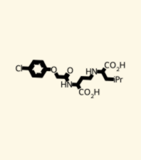 CC(C)CC(NCCC(NC(=O)COc1ccc(Cl)cc1)C(=O)O)C(=O)O